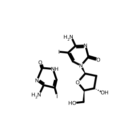 Nc1nc(=O)[nH]cc1I.Nc1nc(=O)n([C@H]2C[C@H](O)[C@@H](CO)O2)cc1I